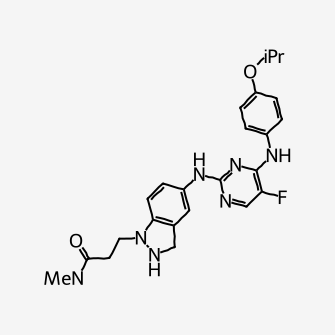 CNC(=O)CCN1NCc2cc(Nc3ncc(F)c(Nc4ccc(OC(C)C)cc4)n3)ccc21